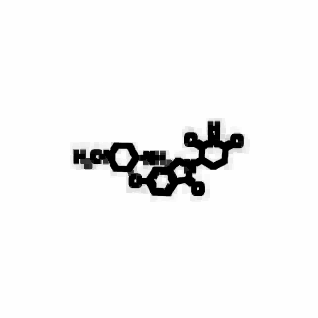 CN1CC[C@@H](N)[C@H](Oc2ccc3c(c2)CN(C2CCC(=O)NC2=O)C3=O)C1